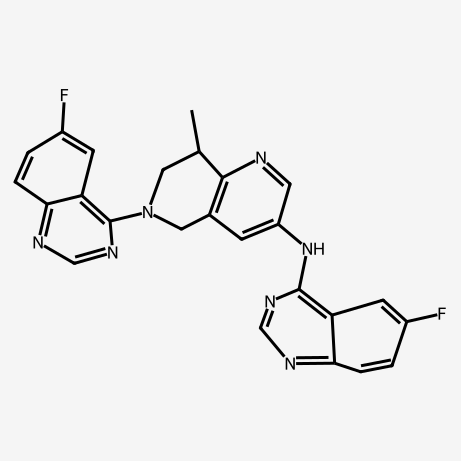 CC1CN(c2ncnc3ccc(F)cc23)Cc2cc(Nc3ncnc4ccc(F)cc34)cnc21